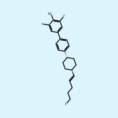 N#Cc1c(F)cc(-c2ccc([C@H]3CC[C@H](C=CCCCF)CC3)cc2)cc1F